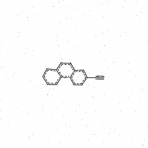 C#Cc1ccc2c(ccc3ccccc32)c1